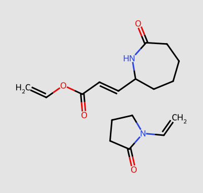 C=CN1CCCC1=O.C=COC(=O)C=CC1CCCCC(=O)N1